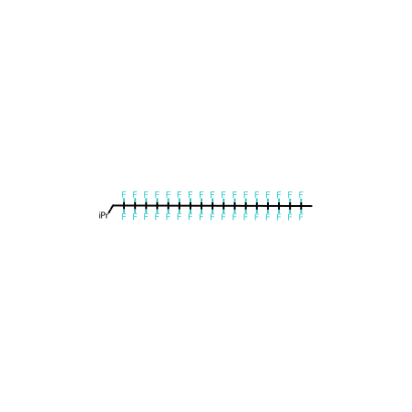 CC(C)CC(F)(F)C(F)(F)C(F)(F)C(F)(F)C(F)(F)C(F)(F)C(F)(F)C(F)(F)C(F)(F)C(F)(F)C(F)(F)C(F)(F)C(F)(F)C(F)(F)C(F)(F)C(F)(F)C(C)(F)F